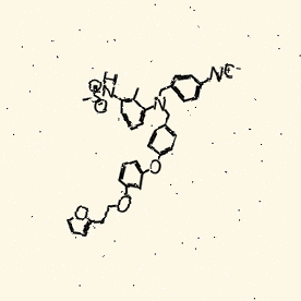 [C-]#[N+]c1ccc(CN(Cc2ccc(Oc3cccc(OCCc4ccco4)c3)cc2)c2cccc(NS(C)(=O)=O)c2C)cc1